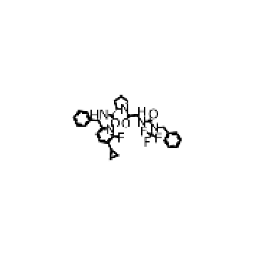 O=C(N[C@@H](c1ccccc1)c1ccc(C2CC2)c(F)n1)[C@@H]1CCCN1C(=O)CNC(=O)N(Cc1ccccc1)C(F)(F)F